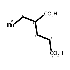 CCC(C)CC(CCC(=O)O)C(=O)O